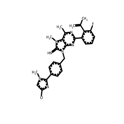 C=C(C)c1c(F)cccc1-c1nc(C)c2c(n1)n(Cc1ccc(-c3nc(Cl)cn3C)cc1)c(=N)n2C